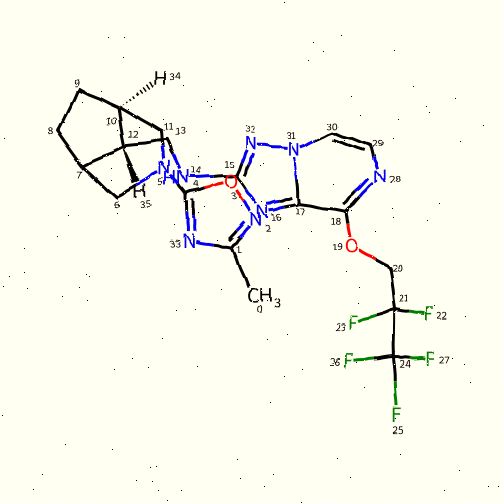 Cc1noc(N2CC3CC[C@@H](C2)[C@@H]3CNc2nc3c(OCC(F)(F)C(F)(F)F)nccn3n2)n1